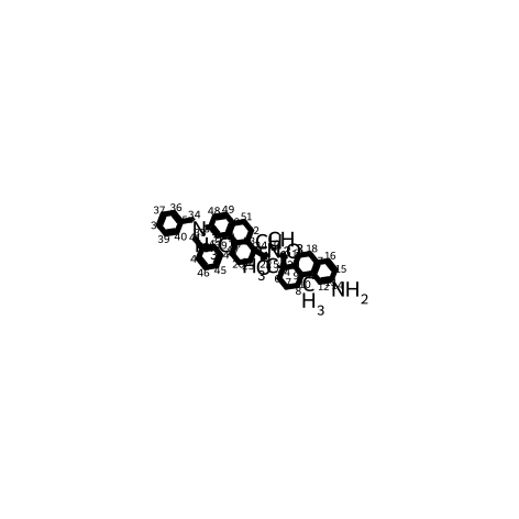 CN(C(=O)[C@@]1(C)CCCC2(C)c3cc(N)ccc3CCC21)C(=O)[C@@]1(C)CCCC2(C)c3cc(N(Cc4ccccc4)Cc4ccccc4)ccc3CCC21